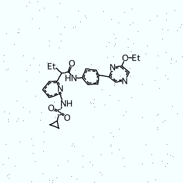 CCOc1cncc(-c2ccc(NC(=O)C(CC)c3cccc(NS(=O)(=O)C4CC4)n3)cc2)n1